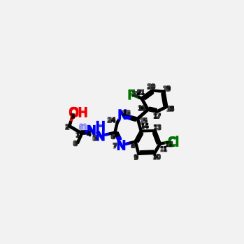 C/C(CO)=N\NC1=Nc2ccc(Cl)cc2C(c2ccccc2F)=NC1